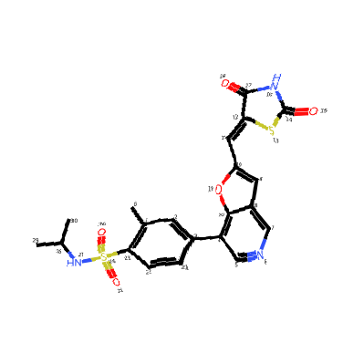 Cc1cc(-c2cncc3cc(/C=C4\SC(=O)NC4=O)oc23)ccc1S(=O)(=O)NC(C)C